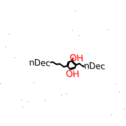 CCCCCCCCCCCCCCc1cc(O)c(CCCCCCCCCCCC)cc1O